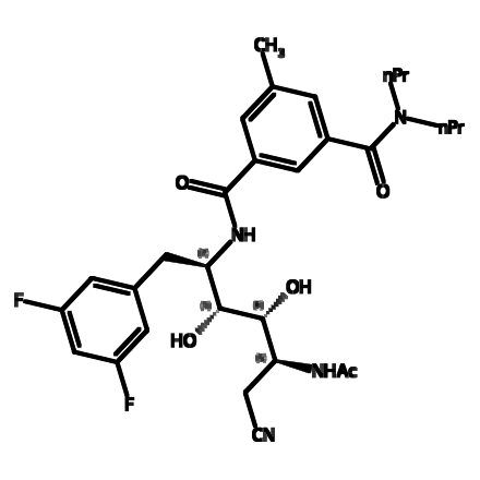 CCCN(CCC)C(=O)c1cc(C)cc(C(=O)N[C@H](Cc2cc(F)cc(F)c2)[C@@H](O)[C@H](O)[C@H](CC#N)NC(C)=O)c1